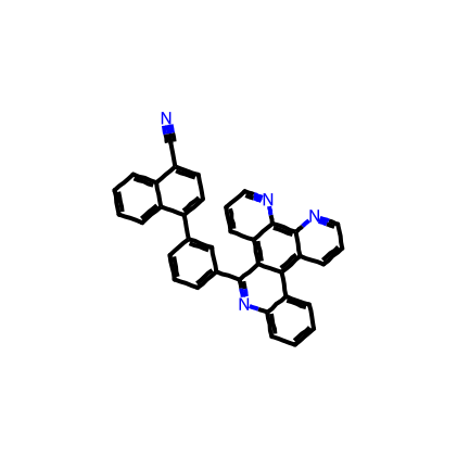 N#Cc1ccc(-c2cccc(-c3nc4ccccc4c4c5cccnc5c5ncccc5c34)c2)c2ccccc12